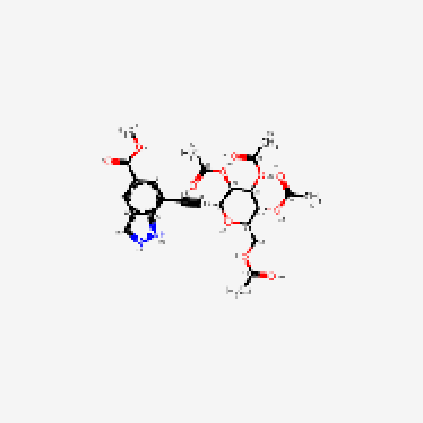 COC(=O)c1cc(C#C[C@H]2O[C@H](COC(C)=O)[C@@H](OC(C)=O)[C@H](OC(C)=O)[C@@H]2OC(C)=O)c2[nH]ncc2c1